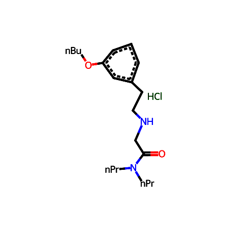 CCCCOc1cccc(CCNCC(=O)N(CCC)CCC)c1.Cl